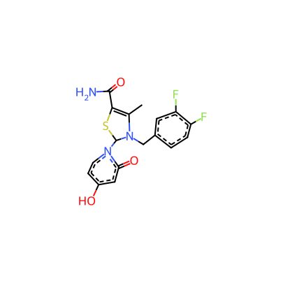 CC1=C(C(N)=O)SC(n2ccc(O)cc2=O)N1Cc1ccc(F)c(F)c1